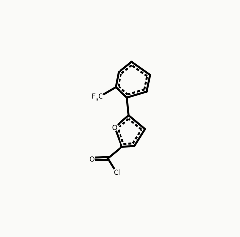 O=C(Cl)c1ccc(-c2ccccc2C(F)(F)F)o1